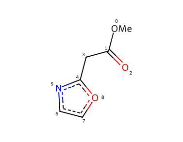 COC(=O)Cc1ncco1